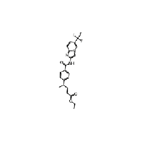 CCOC(=O)CCC(C)c1ccc(C(=O)Nc2cn3cc(C(F)(F)F)ccc3n2)cc1